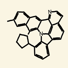 Cc1ccc2cc3c4nccc5ccc6c7cccc(C8CCCC8)c7n(c3c(C)c2c1)c6c54